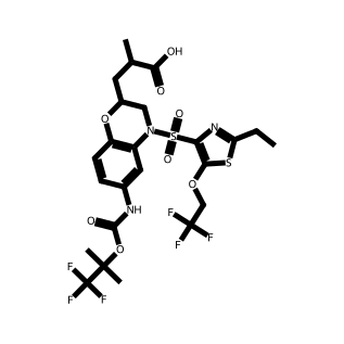 CCc1nc(S(=O)(=O)N2CC(CC(C)C(=O)O)Oc3ccc(NC(=O)OC(C)(C)C(F)(F)F)cc32)c(OCC(F)(F)F)s1